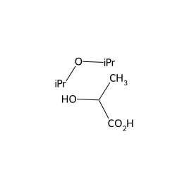 CC(C)OC(C)C.CC(O)C(=O)O